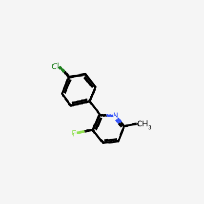 Cc1ccc(F)c(-c2ccc(Cl)cc2)n1